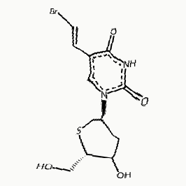 O=c1[nH]c(=O)n([C@H]2CC(O)[C@H](CO)S2)cc1/C=C/Br